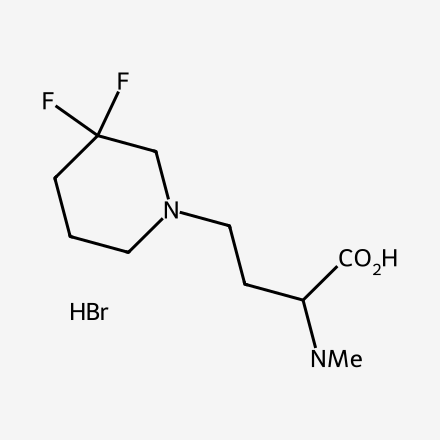 Br.CNC(CCN1CCCC(F)(F)C1)C(=O)O